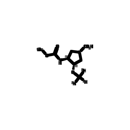 [2H]C([2H])([2H])O[C@H]1CN(C(=O)O)C[C@@H]1NC(=O)OC(C)(C)C